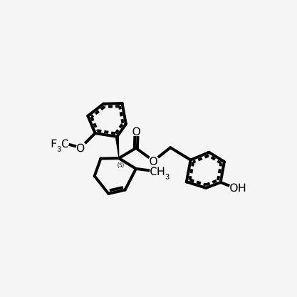 CC1C=CCC[C@@]1(C(=O)OCc1ccc(O)cc1)c1ccccc1OC(F)(F)F